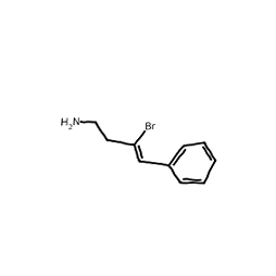 NCCC(Br)=Cc1ccccc1